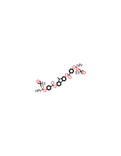 CCCC(OCC1(CC)COC1)Oc1ccc(C(=O)Oc2ccc3c(c2)C(C)c2cc(OC(=O)c4ccc(OC(CCC)OCC5(CC)COC5)cc4)ccc2-3)cc1